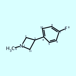 CN1CC(c2ccc(F)cc2)C1